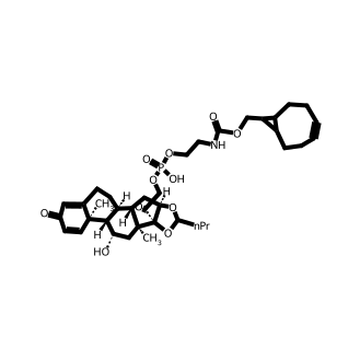 CCCC1O[C@@H]2C[C@H]3[C@@H]4CCC5=CC(=O)C=C[C@]5(C)[C@H]4[C@@H](O)C[C@]3(C)[C@]2(C(=O)COP(=O)(O)OCCNC(=O)OCC2C3CCC#CCCC32)O1